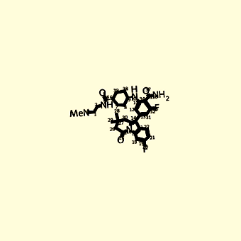 CNCCNC(=O)[C@H]1CC[C@H](Nc2cc(-c3c4n(c5cc(F)ccc35)C(=O)CC(C)(C)C4)cc(F)c2C(N)=O)CC1